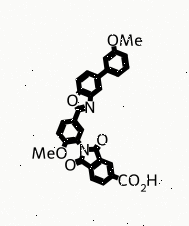 COc1cccc(-c2ccc3oc(-c4ccc(OC)c(N5C(=O)c6ccc(C(=O)O)cc6C5=O)c4)nc3c2)c1